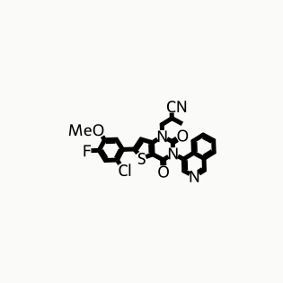 COc1cc(-c2cc3c(s2)c(=O)n(-c2cncc4ccccc24)c(=O)n3CC(C)C#N)c(Cl)cc1F